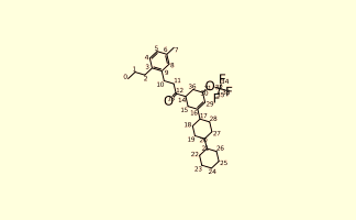 CCCc1ccc(C)cc1CCC(=O)C1CC(C2CCC(C3CCCCC3)CC2)=CC(OC(F)(F)F)C1